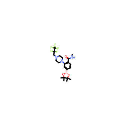 CNC(=O)c1ccc(B2OC(C)(C)C(C)(C)O2)cc1N1CCN(CC(F)(F)C(F)(F)F)CC1